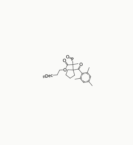 CCCCCCCCCCCCOC(=O)C(C)(P=O)C1(C(=O)c2c(C)cc(C)cc2C)CCCC1